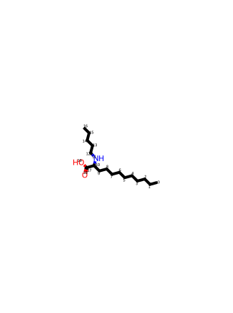 CCCCCCCCCCC(NCCCCC)C(=O)O